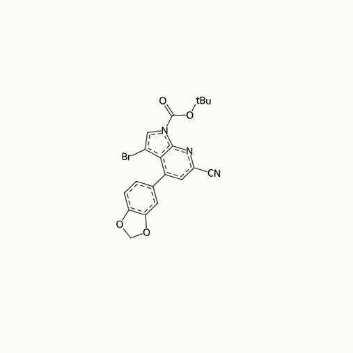 CC(C)(C)OC(=O)n1cc(Br)c2c(-c3ccc4c(c3)OCO4)cc(C#N)nc21